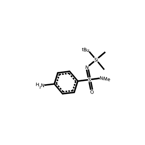 CNS(=O)(=N[Si](C)(C)C(C)(C)C)c1ccc(N)cc1